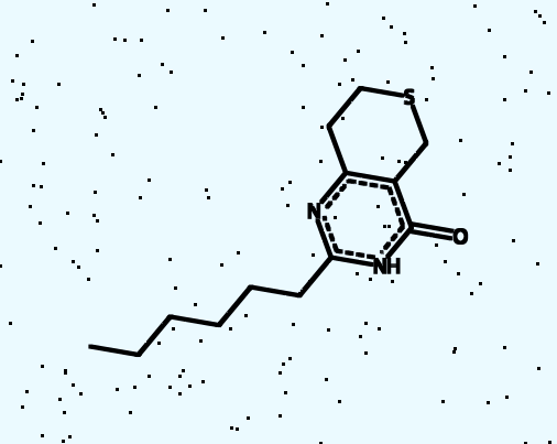 CCCCCCc1nc2c(c(=O)[nH]1)CSCC2